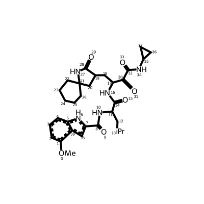 COc1cccc2[nH]c(C(=O)NC(CC(C)C)C(=O)NC(CC3CC4(CCCCC4)NC3=O)C(=O)C(=O)NC3CC3)cc12